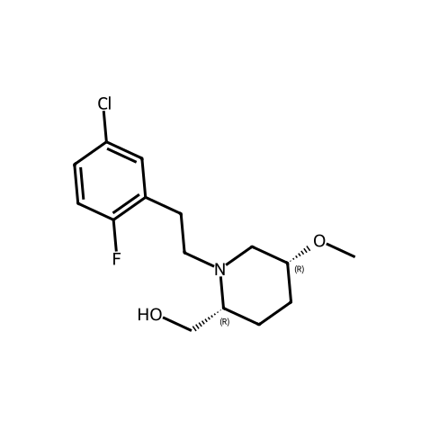 CO[C@@H]1CC[C@H](CO)N(CCc2cc(Cl)ccc2F)C1